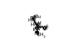 Cn1cc(-c2nc(NCCc3cccc(F)c3)c(C(=O)NCCCNC(=O)OC(C)(C)C)cc2F)cn1